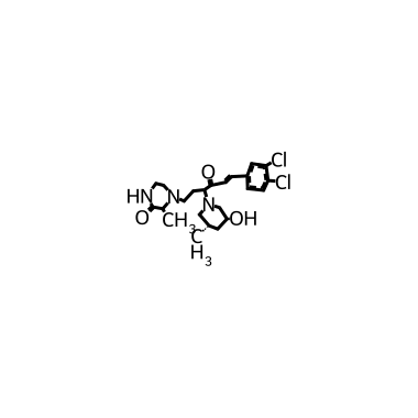 CC1C(=O)NCCN1CCC(C(=O)/C=C/c1ccc(Cl)c(Cl)c1)N1C[C@@H](C)C[C@H](O)C1